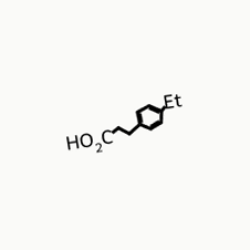 CCc1ccc(CCC(=O)O)cc1